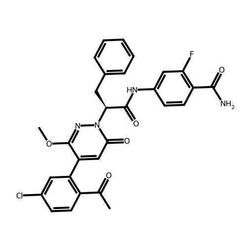 COc1nn([C@@H](Cc2ccccc2)C(=O)Nc2ccc(C(N)=O)c(F)c2)c(=O)cc1-c1cc(Cl)ccc1C(C)=O